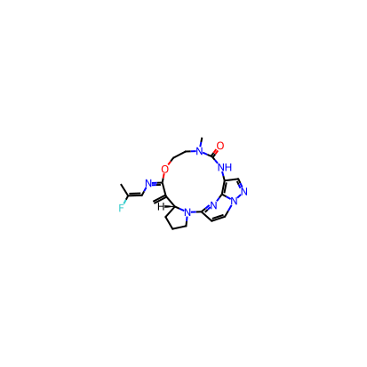 C=C1/C(=N\C=C(/C)F)OCCN(C)C(=O)Nc2cnn3ccc(nc23)N2CCC[C@H]12